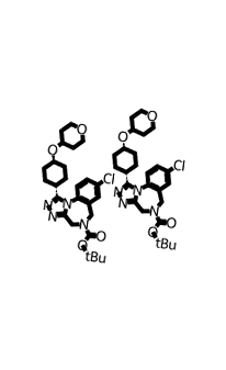 CC(C)(C)OC(=O)N1Cc2cc(Cl)ccc2-n2c(nnc2[C@H]2CC[C@@H](OC3CCOCC3)CC2)C1.CC(C)(C)OC(=O)N1Cc2cc(Cl)ccc2-n2c(nnc2[C@H]2CC[C@H](OC3CCOCC3)CC2)C1